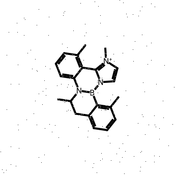 Cc1cccc2c1B1N(c3cccc(C)c3-c3n1cc[n+]3C)C(C)C2